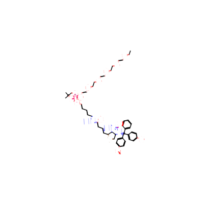 CCOCCOCCOCCOCCOCCOP(=O)(OCCCCCNC(=O)CCCC1SCC2C1NC(=O)N2C(c1ccccc1)(c1ccc(OC)cc1)c1ccc(OC)cc1)OC(C)(C)C